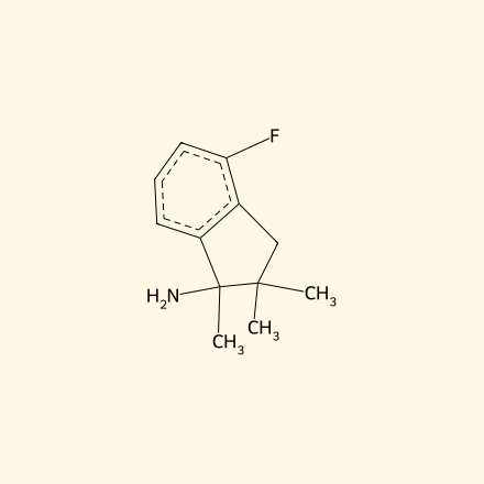 CC1(C)Cc2c(F)cccc2C1(C)N